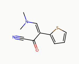 CN(C)C=C(C(=O)C#N)c1cccs1